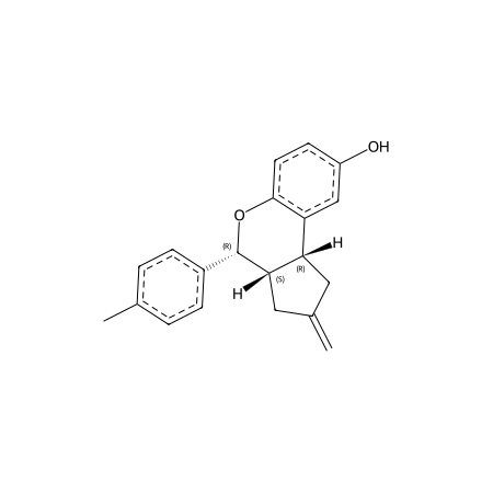 C=C1C[C@H]2[C@@H](C1)c1cc(O)ccc1O[C@H]2c1ccc(C)cc1